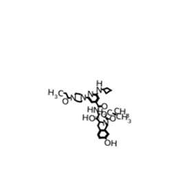 CCC(=O)N1CCN(c2cc(C(=O)NC[C@@H](O)C3Cc4ccc(O)cc4CN3C(=O)OC(C)(C)C)cc(NC3CCC3)n2)CC1